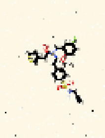 C#CCNS(=O)(=O)c1ccc(CCN(Cc2cc(F)ccc2OCCC)C(=O)Cc2ccsc2)cc1